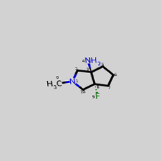 CN1C[C@]2(N)CCC[C@@]2(F)C1